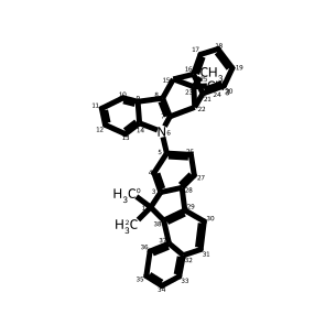 CC1(C)c2cc(-n3c4c(c5ccccc53)C3c5ccccc5C4C3(C)C)ccc2-c2ccc3ccccc3c21